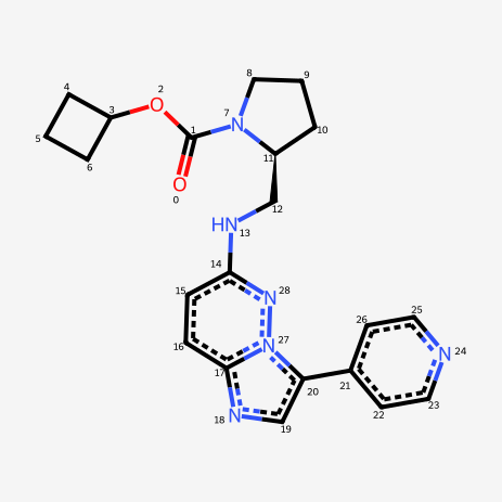 O=C(OC1CCC1)N1CCC[C@H]1CNc1ccc2ncc(-c3ccncc3)n2n1